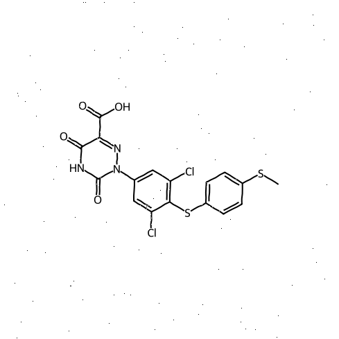 CSc1ccc(Sc2c(Cl)cc(-n3nc(C(=O)O)c(=O)[nH]c3=O)cc2Cl)cc1